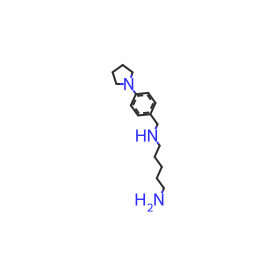 NCCCCCNCc1ccc(N2CCCC2)cc1